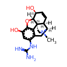 CN1CC[C@]23c4c5c(NC(=N)N)cc(O)c4O[C@H]2[C@@H](O)C=C[C@H]3[C@H]1C5